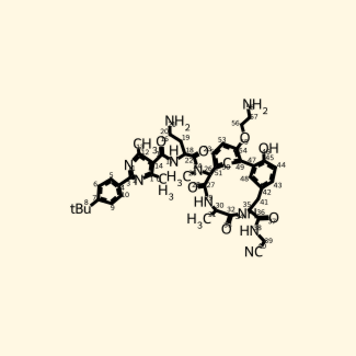 Cc1nc(-c2ccc(C(C)(C)C)cc2)nc(C)c1C(=O)NC(CCN)C(=O)N(C)C1C(=O)NC(C)C(=O)NC(C(=O)NCC#N)Cc2ccc(O)c(c2)-c2cc1ccc2OCCN